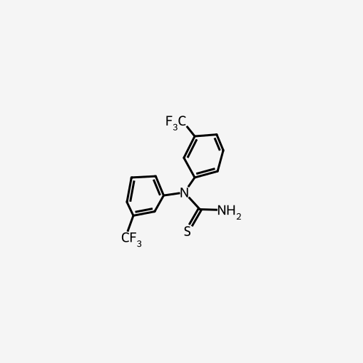 NC(=S)N(c1cccc(C(F)(F)F)c1)c1cccc(C(F)(F)F)c1